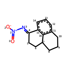 O=[N+]([O-])/N=C1\CCC2CCCc3cccc1c32